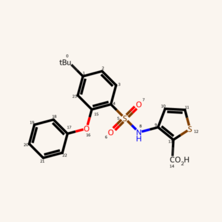 CC(C)(C)c1ccc(S(=O)(=O)Nc2ccsc2C(=O)O)c(Oc2ccccc2)c1